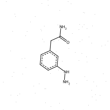 NNc1cccc(CC(N)=O)c1